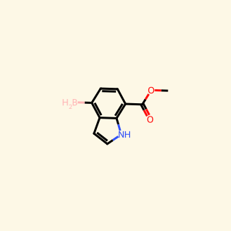 Bc1ccc(C(=O)OC)c2[nH]ccc12